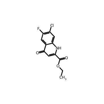 CCOC(=O)c1cc(=O)c2cc(F)c(Cl)cc2[nH]1